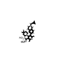 Cc1nc(C)c(C(OC(C)(C)C)C(=O)O)c(N2CCC(C)(C)CC2)c1-c1ccc2c(c1)CCN(CC1CC1)C2